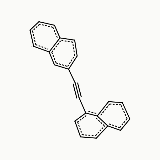 C(#Cc1cccc2ccccc12)c1ccc2ccc[c]c2c1